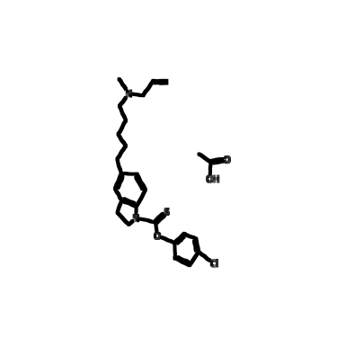 C=CCN(C)CCCCCc1ccc2c(c1)CCN2C(=S)Oc1ccc(Cl)cc1.CC(=O)O